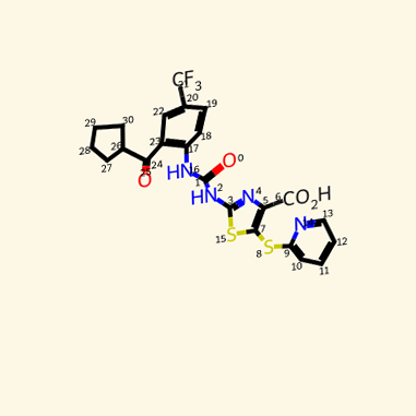 O=C(Nc1nc(C(=O)O)c(Sc2ccccn2)s1)Nc1ccc(C(F)(F)F)cc1C(=O)C1CCCC1